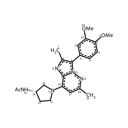 COc1ccc(-c2c(C)nc3c(N4CC[C@H](NC(C)=O)C4)cc(C)nn23)cc1OC